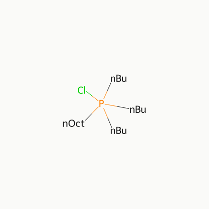 CCCCCCCCP(Cl)(CCCC)(CCCC)CCCC